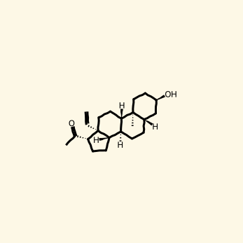 C=C[C@]12CC[C@H]3[C@@H](CC[C@H]4C[C@H](O)CC[C@@]43C)[C@@H]1CC[C@@H]2C(C)=O